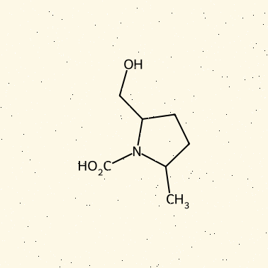 CC1CCC(CO)N1C(=O)O